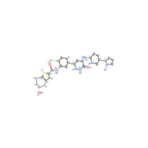 Cn1cccc1-c1ccc(Nc2cc(-c3ccc(F)c(NC(=O)c4cc5c(s4)CC[C@@H](O)C5)c3)n[nH]c2=O)nc1